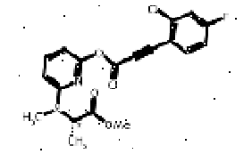 COC(=O)[C@H](C)N(C)c1cccc(OC(=O)C#Cc2ccc(F)cc2Cl)n1